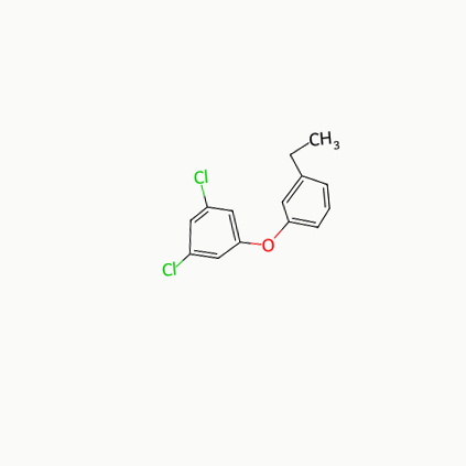 CCc1cccc(Oc2cc(Cl)cc(Cl)c2)c1